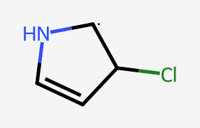 ClC1[CH]NC=C1